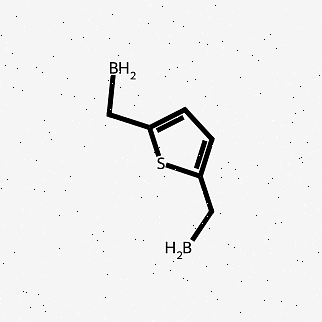 BCc1ccc(CB)s1